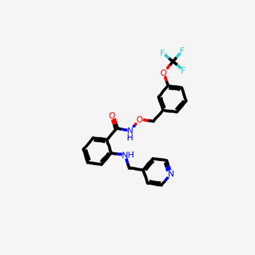 O=C(NOCc1cccc(OC(F)(F)F)c1)c1ccccc1NCc1ccncc1